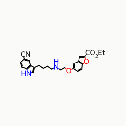 CCOC(=O)c1cc2cc(OCCNCCCCc3c[nH]c4ccc(C#N)cc34)ccc2o1